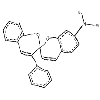 CCN(CC)c1ccc2c(c1)OC1(C=C2)Oc2ccccc2C=C1c1ccccc1